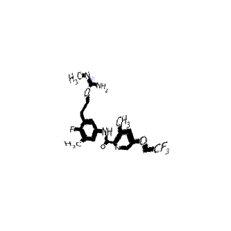 C/N=C(/N)OCCc1cc(NC(=O)c2ncc(OCC(F)(F)F)cc2C)cc(C)c1F